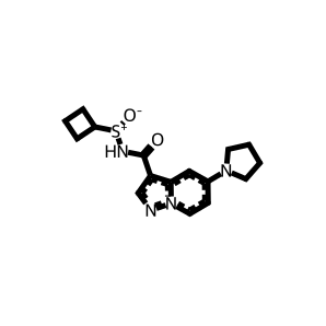 O=C(N[S+]([O-])C1CCC1)c1cnn2ccc(N3CCCC3)cc12